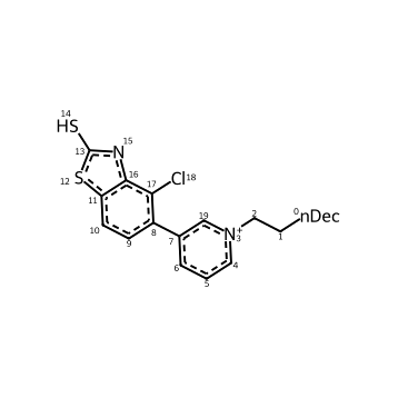 CCCCCCCCCCCC[n+]1cccc(-c2ccc3sc(S)nc3c2Cl)c1